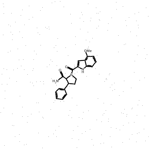 COc1cccc2[nH]c(C(=O)N3CCC(c4ccccc4)C3C(N)=O)cc12